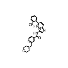 O=C(Nc1cnc2ccc(-c3ccccc3C(F)(F)F)nn12)c1ccnc(CN2CCOCC2)c1